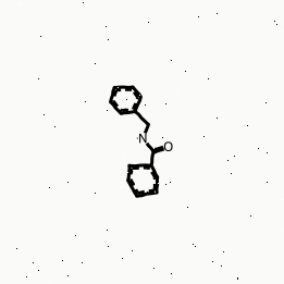 O=C([N]Cc1ccccc1)c1ccccc1